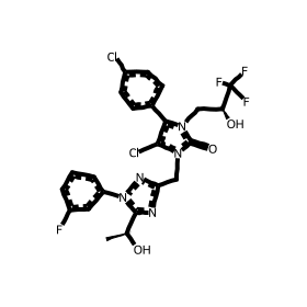 C[C@H](O)c1nc(Cn2c(Cl)c(-c3ccc(Cl)cc3)n(C[C@H](O)C(F)(F)F)c2=O)nn1-c1cccc(F)c1